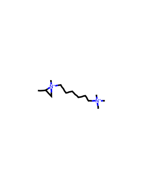 CC1C[N+]1(C)CCCCCC[N+](C)(C)C